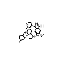 C=CN(Cc1cc2c(-c3ccnc(C)c3)n[nH]c2cc1NC)[C@@H]1CCCN(Cc2ccc(C)cc2F)C1